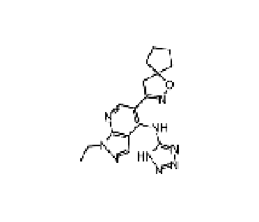 CCn1ncc2c(Nc3nnn[nH]3)c(C3=NOC4(CCCC4)C3)cnc21